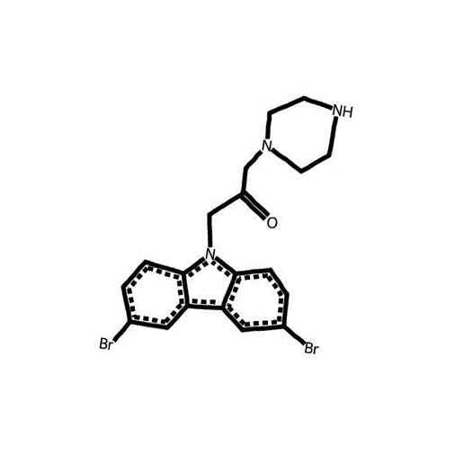 O=C(CN1CCNCC1)Cn1c2ccc(Br)cc2c2cc(Br)ccc21